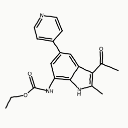 CCOC(=O)Nc1cc(-c2ccncc2)cc2c(C(C)=O)c(C)[nH]c12